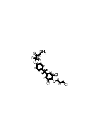 CC(C)(c1ccc(OC(F)(F)C(=O)CN)cc1)c1cc(Cl)c(OCCCCl)c(Cl)c1